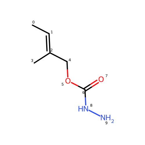 C/C=C(\C)COC(=O)NN